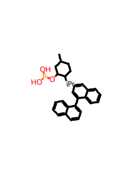 CC1CCC(C(C)C)C(OP(O)O)C1.c1ccc2c(-c3cccc4ccccc34)cccc2c1